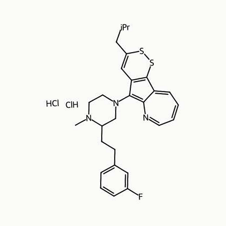 CC(C)CC1=Cc2c(c3ccccnc-3c2N2CCN(C)C(CCc3cccc(F)c3)C2)SS1.Cl.Cl